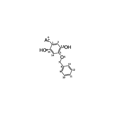 CC(=O)c1cc(O)c(OCc2ccccc2)cc1O